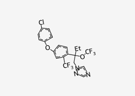 CCC(Cn1cncn1)(OC(F)(F)F)c1ccc(Oc2ccc(Cl)cc2)cc1C(F)(F)F